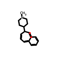 CN1CCC(C2C=CC=C3C=CC=CC34CC=CC=C24)CC1